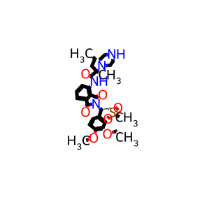 CCCC(C)(C(=O)Nc1cccc2c1C(=O)N([C@H](CS(C)(=O)=O)c1ccc(OC)c(OCC)c1)C2=O)N1CCNCC1